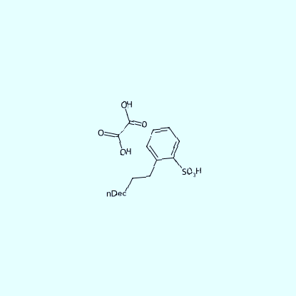 CCCCCCCCCCCCc1ccccc1S(=O)(=O)O.O=C(O)C(=O)O